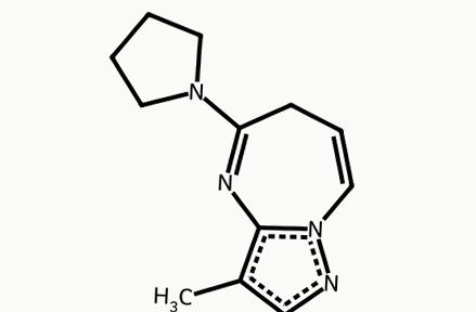 Cc1cnn2c1N=C(N1CCCC1)CC=C2